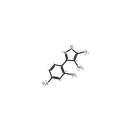 O=[N+]([O-])c1ccc(-c2n[nH]c(C(F)(F)F)c2[N+](=O)[O-])c([N+](=O)[O-])c1